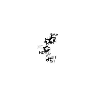 CNc1ncnc2c1ncn2[C@@H]1O[C@H](COP(=O)(O)O)[C@@H](O)[C@H]1O